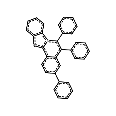 c1ccc(-c2ccc3c(c2)c(-c2ccccc2)c(-c2ccccc2)n2c4ccccc4nc32)cc1